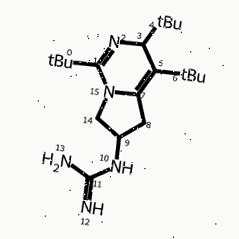 CC(C)(C)C1=NC(C(C)(C)C)C(C(C)(C)C)=C2CC(NC(=N)N)CN12